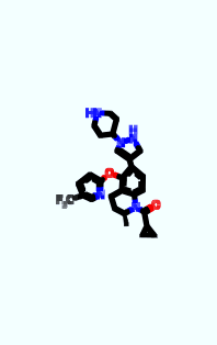 C[C@H]1CCc2c(ccc(C3=CN(C4CCNCC4)NC3)c2Oc2ccc(C(F)(F)F)cn2)N1C(=O)C1CC1